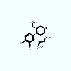 COC[C@H]1CNCC[C@H]1c1ccc(Cl)c(Cl)c1.O=C(O)/C=C/C(=O)O